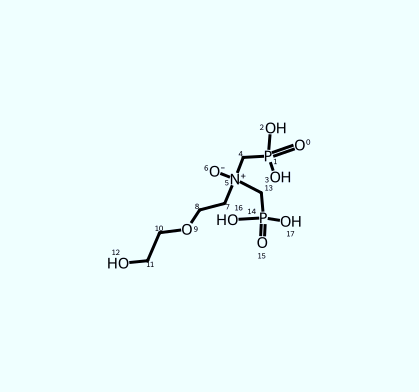 O=P(O)(O)C[N+]([O-])(CCOCCO)CP(=O)(O)O